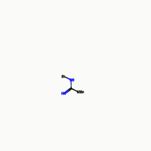 [CH2]CNC(=N)NC